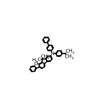 CC(C)c1ccc(N(c2ccc(-c3ccccc3)cc2)c2ccc3c(c2)C(C)(C)c2c-3ccc3c2oc2ccccc23)cc1